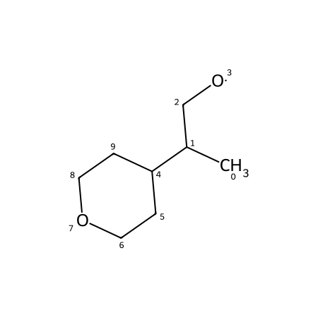 CC(C[O])C1CCOCC1